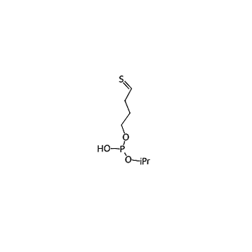 CC(C)OP(O)OCCCC=S